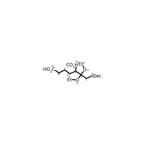 CCCCCCCCCCCC(OCC)(OCC)C(CCCC(=O)O)C(=O)O